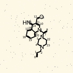 C=CCN1CCN(C(=C)n2cc(C=O)c(=N)c3ccccc32)CC1